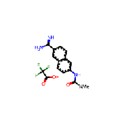 CNC(=O)Nc1ccc2cc(C(=N)N)ccc2c1.O=C(O)C(F)(F)F